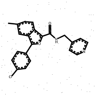 Cc1ccc2c(C(=O)NCc3ccncc3)oc(-c3ccc(Cl)cc3)c2c1